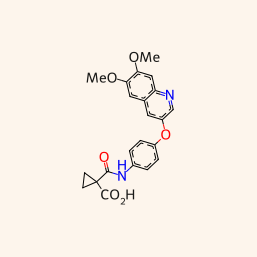 COc1cc2cc(Oc3ccc(NC(=O)C4(C(=O)O)CC4)cc3)cnc2cc1OC